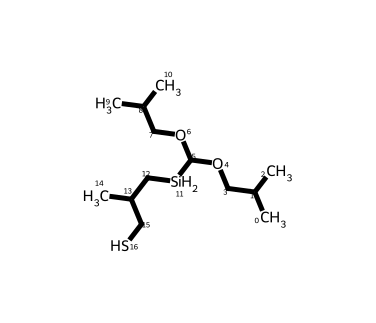 CC(C)COC(OCC(C)C)[SiH2]CC(C)CS